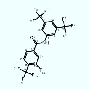 O=C(Nc1cc(C(F)(F)F)cc(C(F)(F)F)c1)c1ccc(C(F)(F)F)c(F)c1